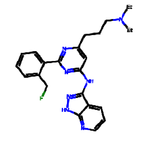 CCN(CC)CCCc1cc(Nc2n[nH]c3ncccc23)nc(-c2ccccc2CF)n1